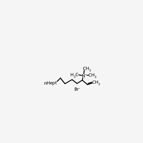 C=CC(CCCCCCCCCCC)[N+](C)(C)C.[Br-]